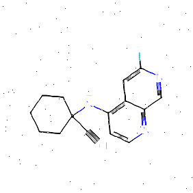 C#CC1(Nc2ccnc3cnc(F)cc23)CCCCC1